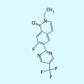 CCn1ccc2cc(-c3ncc(C(F)(F)F)cn3)c(F)cc2c1=O